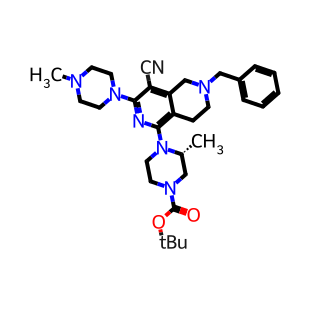 C[C@@H]1CN(C(=O)OC(C)(C)C)CCN1c1nc(N2CCN(C)CC2)c(C#N)c2c1CCN(Cc1ccccc1)C2